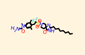 CCCCCCCCCC1=NC2(CCN(S(=O)(=O)C(F)(F)Cc3c(C)cc(N(C)C(N)=O)cc3C)CC2)C(=O)N1